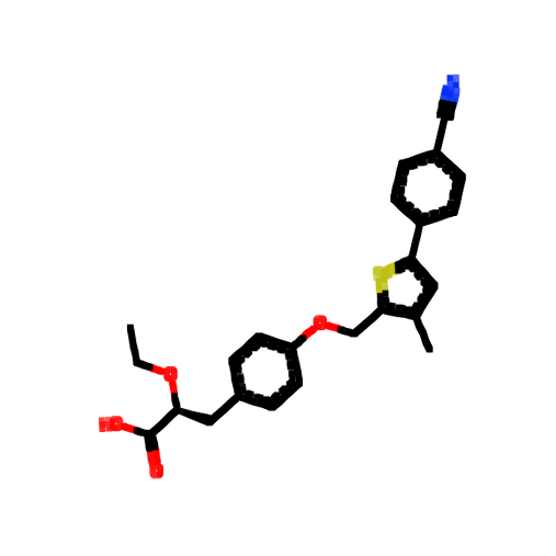 CCO[C@@H](Cc1ccc(OCc2sc(-c3ccc(C#N)cc3)cc2C)cc1)C(=O)O